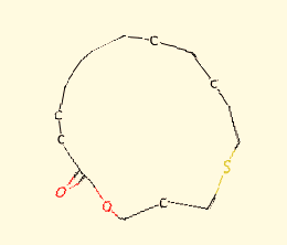 O=C1CCCCCCCCCCSCCCO1